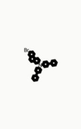 Brc1ccc2c(ccc3cc(N(c4ccc(-c5ccccc5)cc4)c4ccc(-c5ccccc5)cc4)ccc32)c1